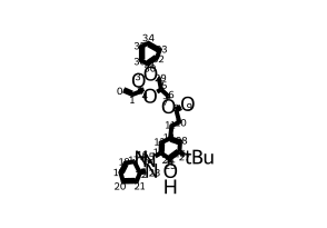 C=CC(=O)OC(COC(=O)CCc1cc(-n2nc3ccccc3n2)c(O)c(C(C)(C)C)c1)COc1ccccc1